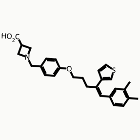 Cc1ccc(C=C(CCCOc2ccc(CN3CC(C(=O)O)C3)cc2)c2ccsc2)cc1C